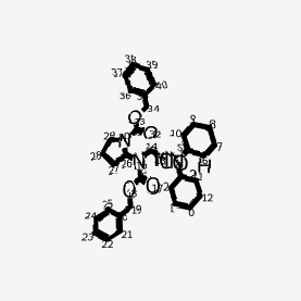 C1CCC(NC2CCCCC2)CC1.O=C(O)CN(C(=O)OCc1ccccc1)C1CCCN1C(=O)OCc1ccccc1